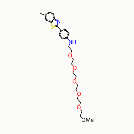 COCCOCCOCCOCCOCCOCCNc1ccc(-c2nc3ccc(C)cc3s2)cc1